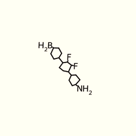 BC1CCC(C2CCC(C3CCC(N)CC3)C(F)C2F)CC1